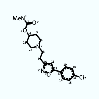 CNC(=O)OC1CCN(CCc2cc(-c3ccc(Cl)cc3)on2)CC1